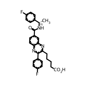 C[C@H](NC(=O)c1ccc2nc(-c3ccc(F)cc3)c(CCCCC(=O)O)nc2c1)c1ccc(F)cc1